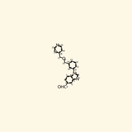 O=Cc1ccc2c(c1)ncn2-c1cccc(COCc2ccncn2)c1